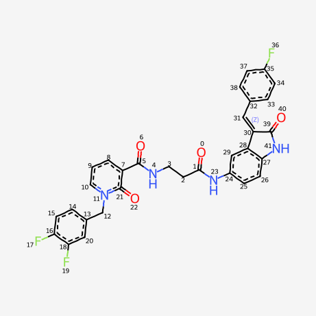 O=C(CCNC(=O)c1cccn(Cc2ccc(F)c(F)c2)c1=O)Nc1ccc2c(c1)/C(=C/c1ccc(F)cc1)C(=O)N2